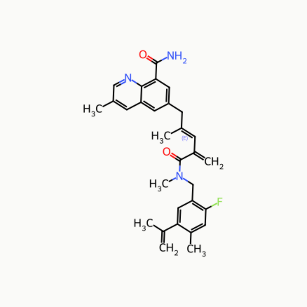 C=C(/C=C(\C)Cc1cc(C(N)=O)c2ncc(C)cc2c1)C(=O)N(C)Cc1cc(C(=C)C)c(C)cc1F